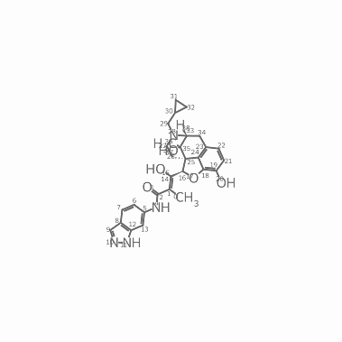 C/C(C(=O)Nc1ccc2cn[nH]c2c1)=C(/O)[C@@H]1Oc2c(O)ccc3c2[C@@]12CCN(CC1CC1)[C@H](C3)[C@@]2(C)O